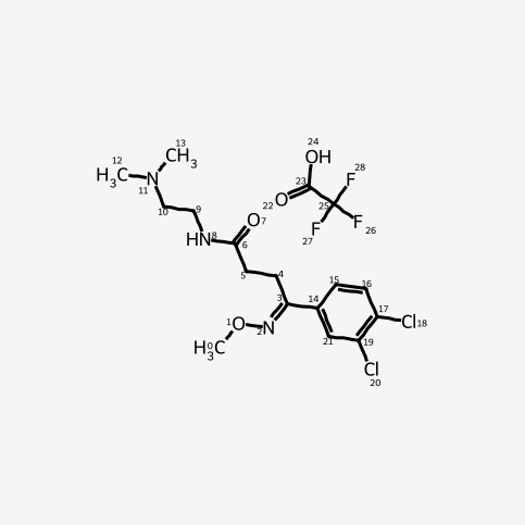 CON=C(CCC(=O)NCCN(C)C)c1ccc(Cl)c(Cl)c1.O=C(O)C(F)(F)F